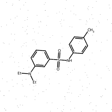 CCN(CC)c1cccc(S(=O)(=O)Nc2ccc(C)cc2)c1